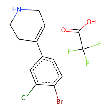 Clc1cc(C2=CCNCC2)ccc1Br.O=C(O)C(F)(F)F